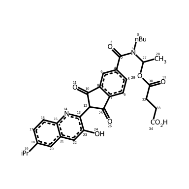 CCCCN(C(=O)c1ccc2c(c1)C(=O)C(c1nc3ccc(C(C)C)cc3cc1O)C2=O)C(C)OC(=O)CCC(=O)O